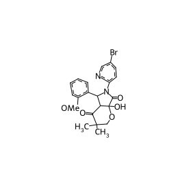 COc1ccccc1C1C2C(=O)C(C)(C)COC2(O)C(=O)N1c1ccc(Br)cn1